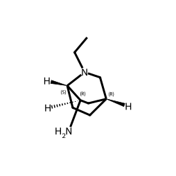 CCN1C[C@@H]2CC[C@H]1[C@H](N)C2